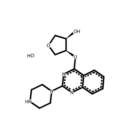 Cl.O[C@@H]1COC[C@@H]1Oc1nc(N2CCNCC2)nc2ccccc12